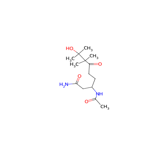 CC(=O)NC(CCC(=O)C(C)(C)C(C)(C)O)CC(N)=O